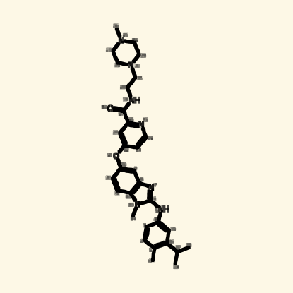 Cc1ccc(Nc2nc3cc(Oc4ccnc(C(=O)NCCN5CCN(C)CC5)c4)ccc3n2C)cc1C(C)C